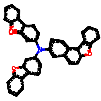 c1ccc2c(c1)oc1cc(N(c3ccc4c(ccc5oc6ccccc6c54)c3)c3ccc4c(c3)oc3ccccc34)ccc12